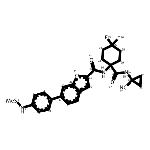 CSNc1ccc(-c2ccc3cc(C(=O)NC4(C(=O)NC5(C#N)CC5)CCC(F)(F)CC4)oc3c2)cc1